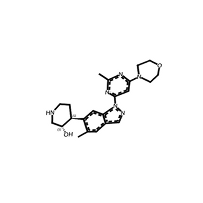 Cc1nc(N2CCOCC2)cc(-n2ncc3cc(C)c([C@@H]4CCNC[C@H]4O)cc32)n1